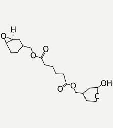 O=C(CCCCC(=O)OCC1CCC2O[C@H]2C1)OCC1CCCC(O)C1